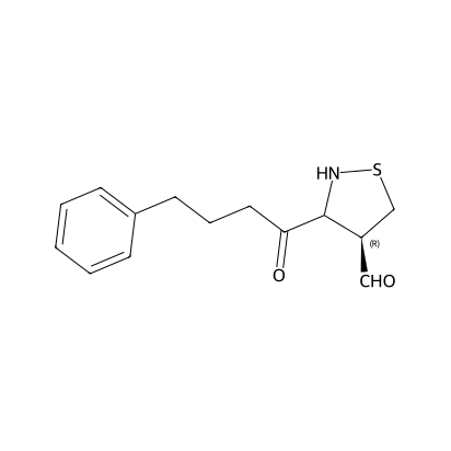 O=C[C@@H]1CSNC1C(=O)CCCc1ccccc1